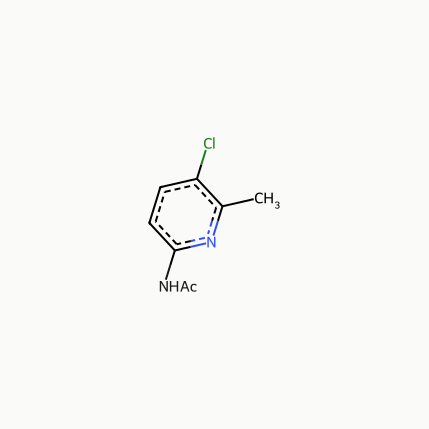 CC(=O)Nc1ccc(Cl)c(C)n1